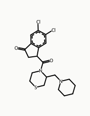 O=C1CC(C(=O)N2CCSCC2CN2CCCCC2)c2cc(Cl)c(Cl)cc21